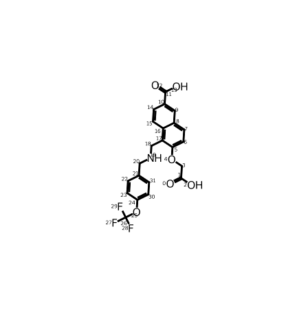 O=C(O)COc1ccc2cc(C(=O)O)ccc2c1CNCc1ccc(OC(F)(F)F)cc1